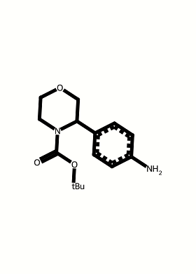 CC(C)(C)OC(=O)N1CCOCC1c1ccc(N)cc1